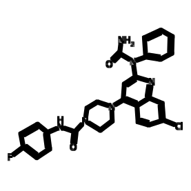 NC(=O)N(c1ccccc1)c1cc(N2CCN(C(=O)Nc3ccc(F)cc3)CC2)c2ccc(Cl)cc2n1